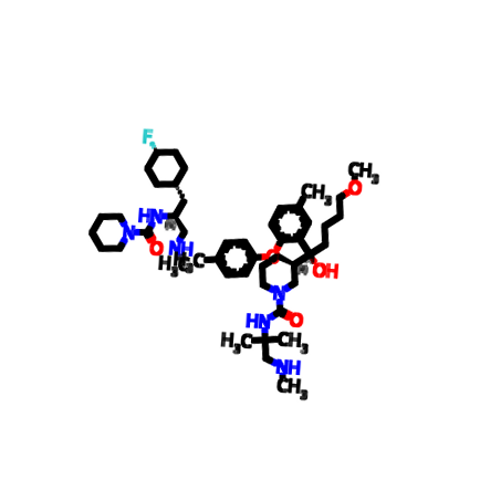 CNCC(C)(C)NC(=O)N1CCC[C@@H]([C@@](O)(CCCCOC)c2cc(C)ccc2Oc2ccc(C)cc2)C1.CNC[C@H](C[C@H]1CC[C@@H](F)CC1)NC(=O)N1CCCCC1